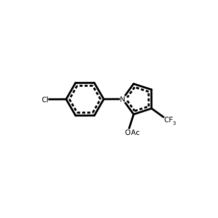 CC(=O)Oc1c(C(F)(F)F)ccn1-c1ccc(Cl)cc1